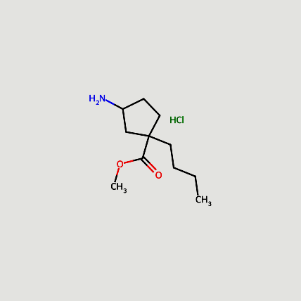 CCCCC1(C(=O)OC)CCC(N)C1.Cl